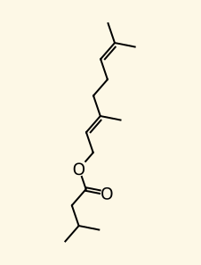 CC(C)=CCC/C(C)=C/COC(=O)CC(C)C